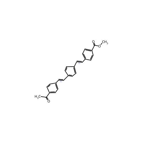 COC(=O)c1ccc(/C=C/c2ccc(/C=C/c3ccc(C(C)=O)cc3)cc2)cc1